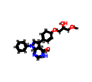 COCC(O)COC1C=CC(c2cn(-c3ccccc3)c3nc[nH]c(=O)c23)=CC1